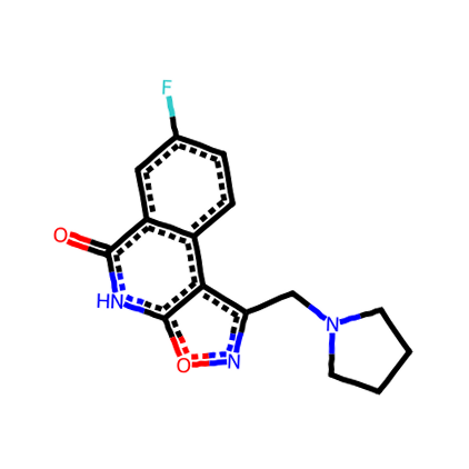 O=c1[nH]c2onc(CN3CCCC3)c2c2ccc(F)cc12